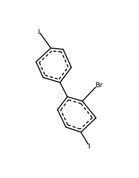 Brc1cc(I)ccc1-c1ccc(I)cc1